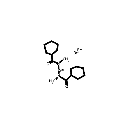 C[N]([Zr+2][N](C)C(=O)C1CCCCC1)C(=O)C1CCCCC1.[Br-].[Br-]